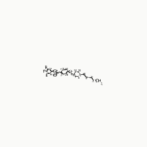 CCCCCC1CCC(COc2ccc(C(=O)Oc3cc(F)c(F)c(F)c3)cc2)CC1